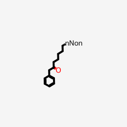 CCCCCCCCCCCCCCC(=O)Cc1ccccc1